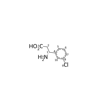 N[C@H](CC(=O)O)c1cccc(Cl)c1